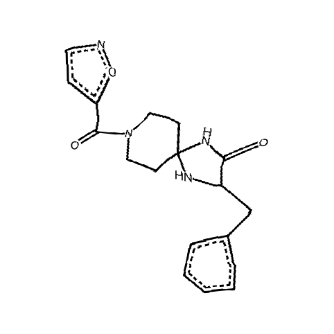 O=C1NC2(CCN(C(=O)c3ccno3)CC2)NC1Cc1ccccc1